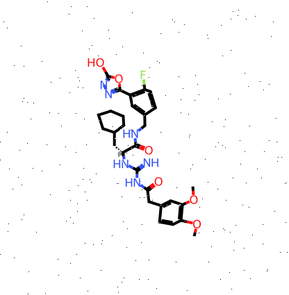 COc1ccc(CC(=O)NC(=N)N[C@H](CC2CCCCC2)C(=O)NCc2ccc(F)c(-c3nnc(O)o3)c2)cc1OC